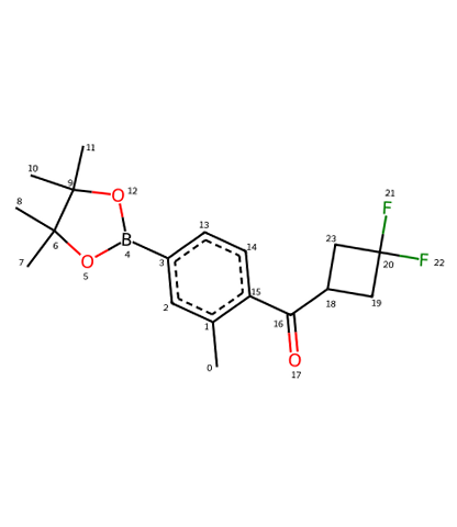 Cc1cc(B2OC(C)(C)C(C)(C)O2)ccc1C(=O)C1CC(F)(F)C1